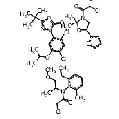 CC(C)Oc1cc(-n2nc(C(C)(C)C)oc2=O)c(Cl)cc1Cl.CC1(C)OC(c2ccco2)CN1C(=O)C(Cl)Cl.CCc1cccc(C)c1N(C(=O)CCl)C(C)COC